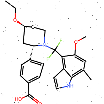 CCO[C@H]1CCN(C(F)(F)c2c(OC)cc(C)c3[nH]ccc23)[C@H](c2ccc(C(=O)O)cc2)C1